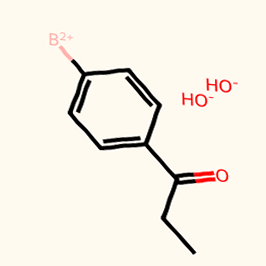 [B+2]c1ccc(C(=O)CC)cc1.[OH-].[OH-]